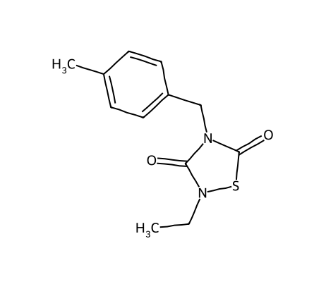 CCn1sc(=O)n(Cc2ccc(C)cc2)c1=O